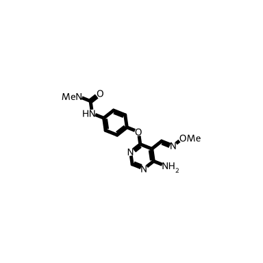 CNC(=O)Nc1ccc(Oc2ncnc(N)c2C=NOC)cc1